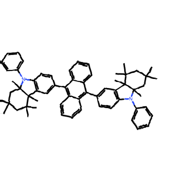 CC1(C)CC(C)(C)C2(C)c3cc(-c4c5ccccc5c(-c5ccc6c(c5)C5(C)C(C)(C)CC(C)(C)CC5(C)N6c5ccccc5)c5ccccc45)ccc3N(c3ccccc3)C2(C)C1